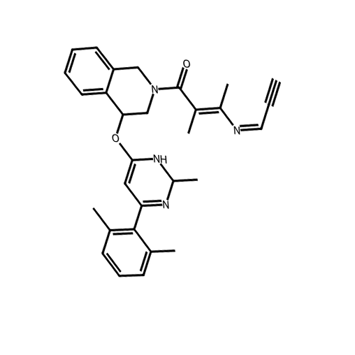 C#C/C=N\C(C)=C(/C)C(=O)N1Cc2ccccc2C(OC2=CC(c3c(C)cccc3C)=NC(C)N2)C1